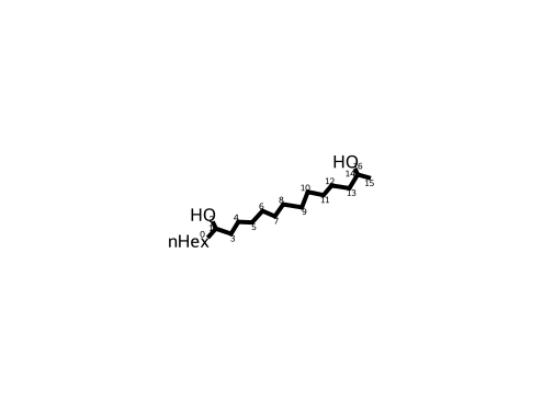 CCCCCCC(O)CCCCCCCCCCCC(C)O